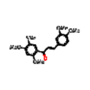 COc1ccc(C=CC(=O)c2cc(SC)c(OC)cc2OC)cc1OC